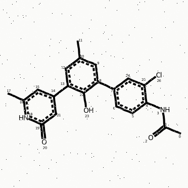 CC(=O)Nc1ccc(-c2cc(C)cc(-c3cc(C)[nH]c(=O)c3)c2O)cc1Cl